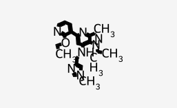 CCOc1ncccc1-c1cc(NCc2cn(C)cn2)c2c(n1)c(C)nn2C(C)C